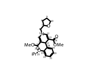 COC(=O)C1=CN(CC2CCCO2)C=C(C(=O)OC)C1c1ccccc1OC(C)C